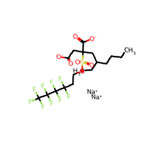 CCCCC(CC)CC(CC(=O)[O-])(C(=O)[O-])S(=O)(=O)OCCC(F)(F)C(F)(F)C(F)(F)C(F)(F)F.[Na+].[Na+]